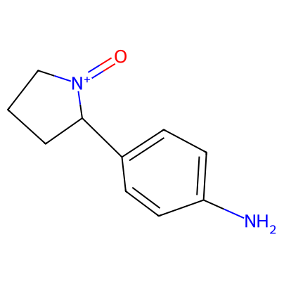 Nc1ccc(C2CCC[N+]2=O)cc1